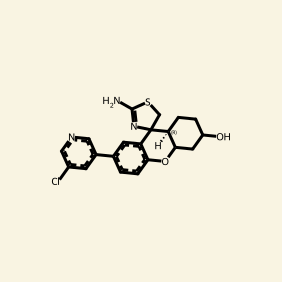 NC1=NC2(CS1)c1cc(-c3cncc(Cl)c3)ccc1OC1CC(O)CC[C@@H]12